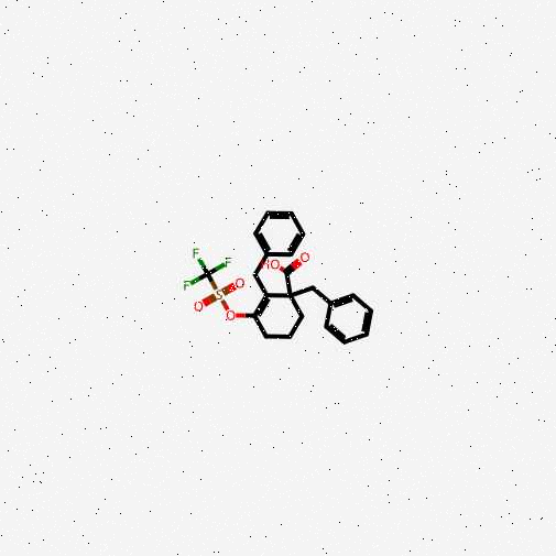 O=C(O)C1(Cc2ccccc2)CCCC(OS(=O)(=O)C(F)(F)F)=C1Cc1ccccc1